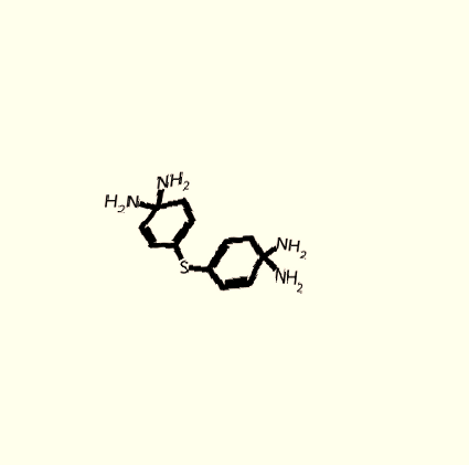 NC1(N)C=CC(SC2=CCC(N)(N)C=C2)=CC1